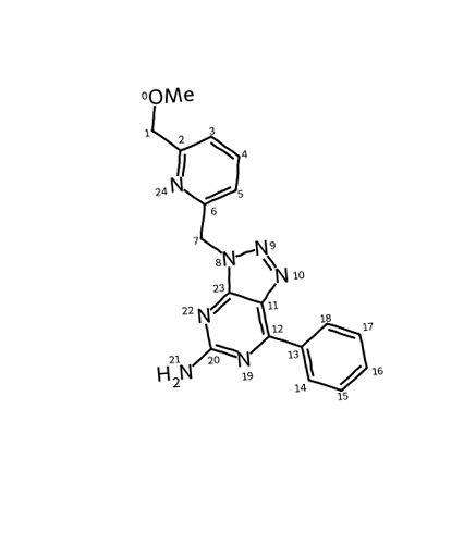 COCc1cccc(Cn2nnc3c(-c4ccccc4)nc(N)nc32)n1